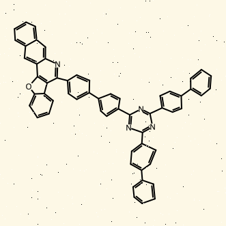 c1ccc(-c2ccc(-c3nc(-c4ccc(-c5ccccc5)cc4)nc(-c4ccc(-c5ccc(-c6nc7cc8ccccc8cc7c7oc8ccccc8c67)cc5)cc4)n3)cc2)cc1